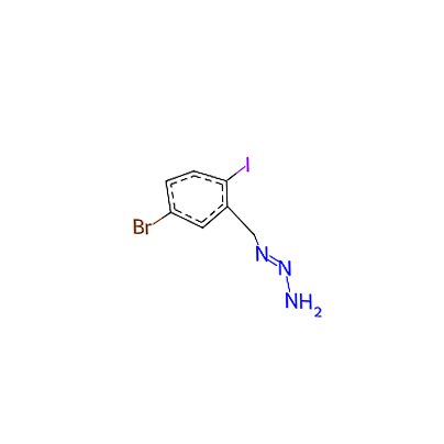 NN=NCc1cc(Br)ccc1I